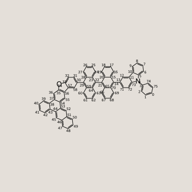 c1ccc(-n2c3ccccc3c3cc(-c4c5ccccc5c(-c5c6ccccc6c(-c6ccc7oc8cc9c%10ccccc%10c%10cc%11ccccc%11cc%10c9cc8c7c6)c6ccccc56)c5ccccc45)ccc32)cc1